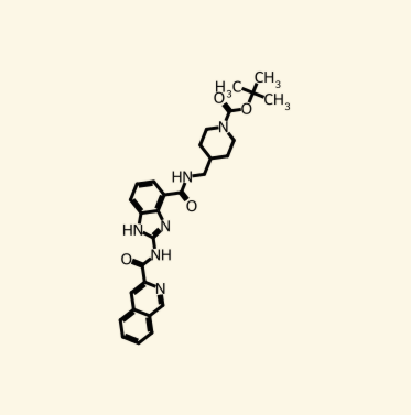 CC(C)(C)OC(=O)N1CCC(CNC(=O)c2cccc3[nH]c(NC(=O)c4cc5ccccc5cn4)nc23)CC1